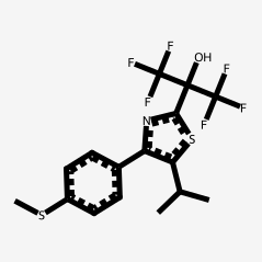 CSc1ccc(-c2nc(C(O)(C(F)(F)F)C(F)(F)F)sc2C(C)C)cc1